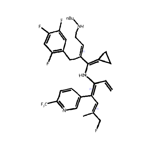 C=C/C(NC(=C1CC1)/C(=C/CNCCCC)Cc1cc(F)c(F)cc1F)=C(\C=C(/C)CF)c1ccc(C(F)(F)F)nc1